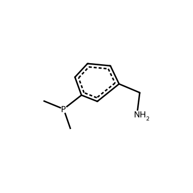 CP(C)c1cccc(CN)c1